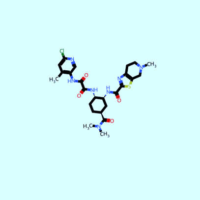 Cc1cc(Cl)ncc1NC(=O)C(=O)N[C@H]1CC[C@H](C(=O)N(C)C)C[C@H]1NC(=O)c1nc2c(s1)CN(C)CC2